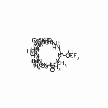 CC[C@H](C)[C@H]1CN[C@@H](C2CCCCC2)C(C)NCC2[C@@H](C(=O)N3CCCCC3)C(C)N2[C@@H](C(C)C)C(C)NC2(CCCC2)CNCCNC=CC(CCc2ccc(C(F)(F)F)c(Cl)c2)=NC=CN(C)C=C(CC2CCCCC2)N(C)C=C2CCCN2[C@@H](C)C(C)N1